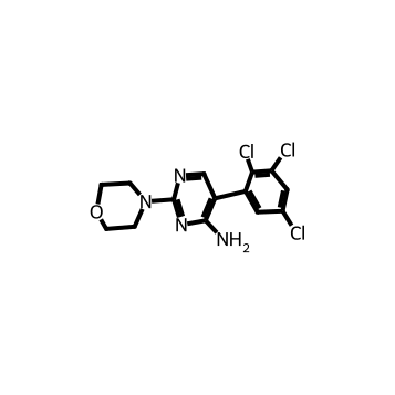 Nc1nc(N2CCOCC2)ncc1-c1cc(Cl)cc(Cl)c1Cl